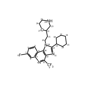 Fc1ccc2c(c1)nc(C(F)(F)F)c1nc(C3CCCCC3)n(CCC3CNCCO3)c12